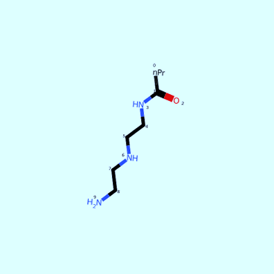 CCCC(=O)NCCNCCN